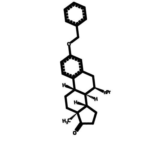 CCC[C@@H]1Cc2cc(OCc3ccccc3)ccc2[C@H]2CC[C@]3(C)C(=O)CC[C@H]3[C@H]12